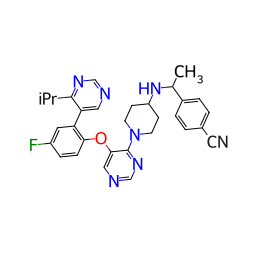 CC(C)c1ncncc1-c1cc(F)ccc1Oc1cncnc1N1CCC(NC(C)c2ccc(C#N)cc2)CC1